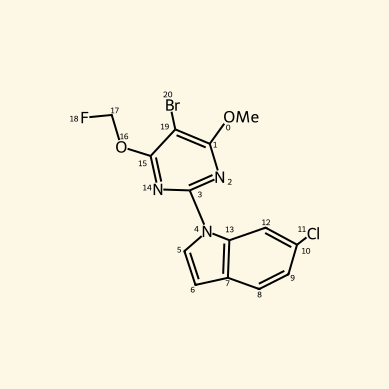 COc1nc(-n2ccc3ccc(Cl)cc32)nc(OCF)c1Br